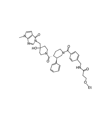 CCOCCC(=O)NCc1ccc(C(=O)N2CC[C@@H](C(=O)N3CCC(O)(Cn4cnc5c(ccn5C)c4=O)CC3)[C@H](c3ccccc3)C2)cc1